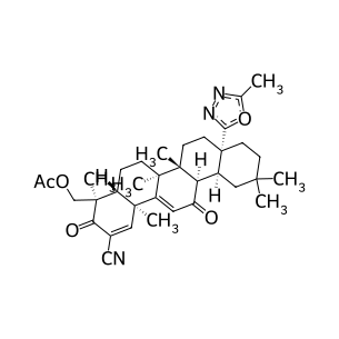 CC(=O)OC[C@]1(C)C(=O)C(C#N)=C[C@]2(C)C3=CC(=O)[C@@H]4[C@@H]5CC(C)(C)CC[C@]5(c5nnc(C)o5)CC[C@@]4(C)[C@]3(C)CC[C@H]21